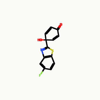 O=C1C=CC(O)(c2nc3cc(F)ccc3s2)C=C1